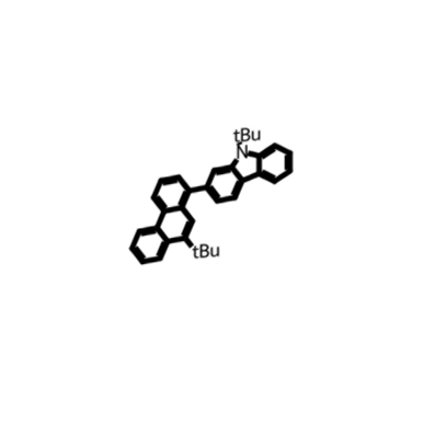 CC(C)(C)c1cc2c(-c3ccc4c5ccccc5n(C(C)(C)C)c4c3)cccc2c2ccccc12